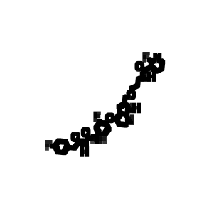 O=C(Cc1ccc(F)cc1)NC(=O)Nc1ccc(Oc2ccnc3[nH]c(COCCCNC(=O)c4cccnc4F)cc23)c(F)c1